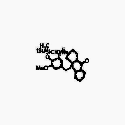 COc1cc(Cn2c3ccccc3c(=O)c3ccc(F)cc32)cc(OC)c1O[Si](C)(C)C(C)(C)C